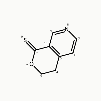 S=C1OCCc2ccncc21